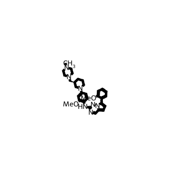 COc1cc(N2CCC[C@H](CN3CCN(C)CC3)C2)ccc1Nc1ncc2ccc(-c3ccccc3OC)n2n1